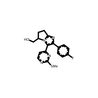 CSc1nccc(-c2c(-c3ccc(F)cc3)nc3n2C(CO)CC3)n1